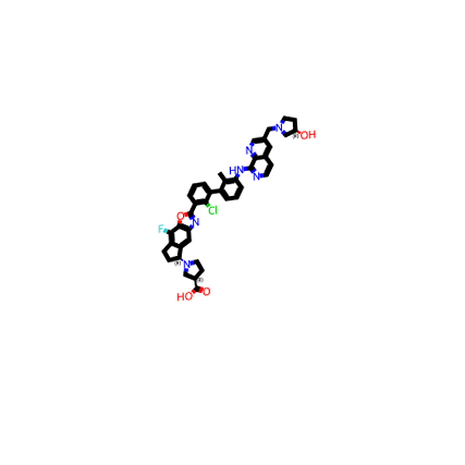 Cc1c(Nc2nccc3cc(CN4CC[C@@H](O)C4)cnc23)cccc1-c1cccc(-c2nc3cc4c(c(F)c3o2)CC[C@H]4N2CC[C@@H](C(=O)O)C2)c1Cl